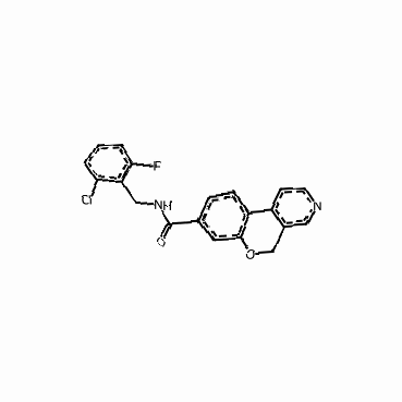 O=C(NCc1c(F)cccc1Cl)c1ccc2c(c1)OCc1cnccc1-2